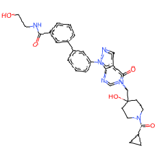 O=C(NCCO)c1cccc(-c2cccc(-n3ncc4c(=O)n(CC5(O)CCN(C(=O)C6CC6)CC5)cnc43)c2)c1